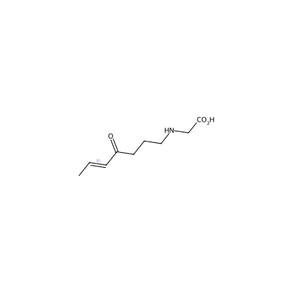 C/C=C/C(=O)CCCNCC(=O)O